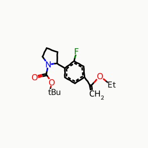 C=C(OCC)c1ccc(C2CCCN2C(=O)OC(C)(C)C)c(F)c1